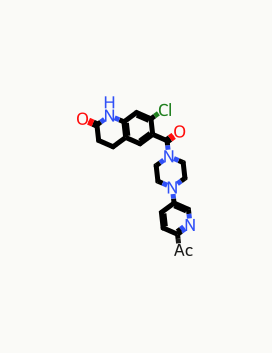 CC(=O)c1ccc(N2CCN(C(=O)c3cc4c(cc3Cl)NC(=O)CC4)CC2)cn1